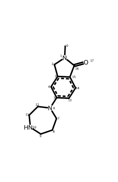 CN1Cc2cc(N3CCCNCC3)ccc2C1=O